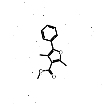 COC(=O)c1c(C)oc(-c2ccccc2)c1C